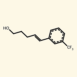 OCCC/C=C/c1cccc(C(F)(F)F)c1